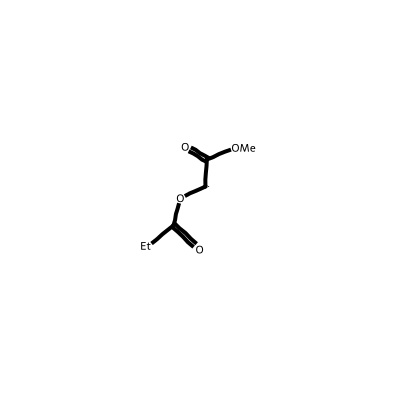 CCC(=O)O[CH]C(=O)OC